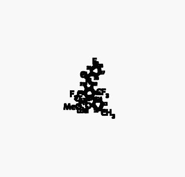 COC(=O)[C@@H](OC(C)(C)C)c1c(-c2ccc(C)cc2)c(C(F)(F)F)c2c(c1C(F)(F)F)CN(C(=O)c1cccc(F)c1)C2